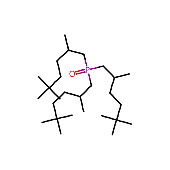 CC(CCC(C)(C)C)CP(=O)(CC(C)CCC(C)(C)C)CC(C)CCC(C)(C)C